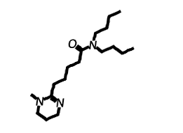 CCCCN(CCCC)C(=O)CCCCC1=NCCCN1C